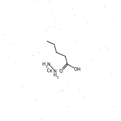 CCCCC(=O)O.NN.[Ce]